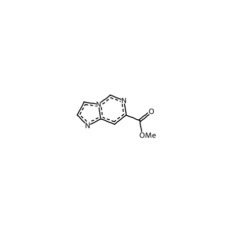 COC(=O)c1cc2nccn2cn1